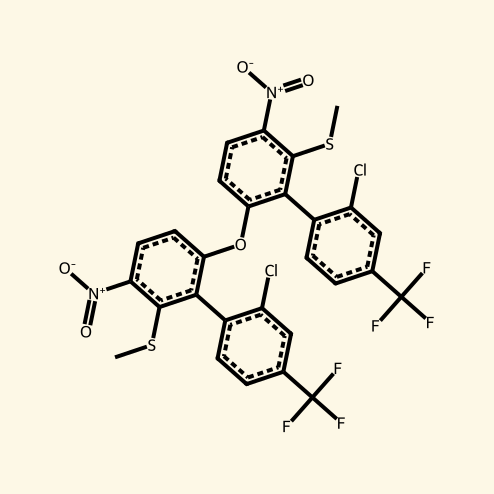 CSc1c([N+](=O)[O-])ccc(Oc2ccc([N+](=O)[O-])c(SC)c2-c2ccc(C(F)(F)F)cc2Cl)c1-c1ccc(C(F)(F)F)cc1Cl